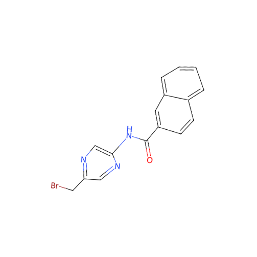 O=C(Nc1cnc(CBr)cn1)c1ccc2ccccc2c1